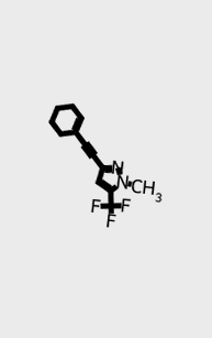 Cn1nc(C#CC2=CCCCC2)cc1C(F)(F)F